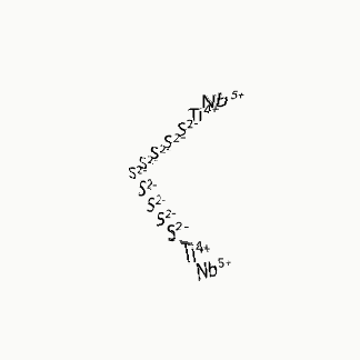 [Nb+5].[Nb+5].[S-2].[S-2].[S-2].[S-2].[S-2].[S-2].[S-2].[S-2].[S-2].[Ti+4].[Ti+4]